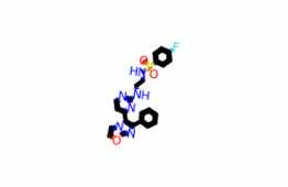 O=S(=O)(NCCNc1nccc(-c2c(-c3ccccc3)nc3occn23)n1)c1ccc(F)cc1